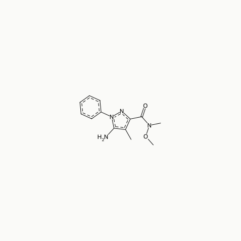 CON(C)C(=O)c1nn(-c2ccccc2)c(N)c1C